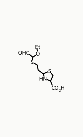 CCOC(C=O)SCCC1NC(C(=O)O)CS1